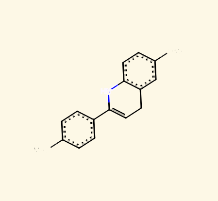 COc1ccc(C2=C[CH]c3cc(OC)ccc3N2)cc1